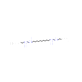 O=C(O)CCCNCCNCCCCCCCCCCCCNCCNCCCC(=O)O